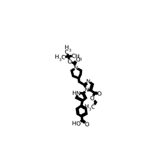 CCOC(=O)c1cnc(CC2CCN(C(=O)OC(C)(C)C)CC2)n1-c1cc(-c2ccc(C(=O)O)cc2)c[nH]1